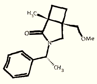 COC[C@]12CC[C@@]1(C)C(=O)N([C@H](C)c1ccccc1)C2